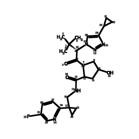 CC(C)(C)[C@@H](C(=O)N1CC(O)CC1C(=O)NCC1(c2ccc(F)cn2)CC1)n1cc(C2CC2)nn1